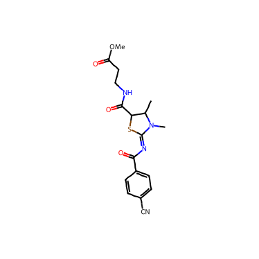 COC(=O)CCNC(=O)C1SC(=NC(=O)c2ccc(C#N)cc2)N(C)C1C